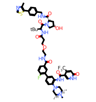 Cc1ncsc1-c1ccc(CNC(=O)[C@@H]2C[C@@H](O)CN2C(=O)C(NC(=O)CCOCCNC(=O)c2ccc(F)c(-c3ccc(N4C[C@@H](C)N(C)[C@@H](C)C4)c(NC(=O)c4c[nH]c(=O)cc4C(F)(F)F)c3)c2)C(C)(C)C)cc1